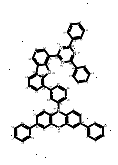 c1ccc(-c2ccc3c(c2)Sc2cc(-c4ccccc4)ccc2N3c2cccc(-c3cccc4c3oc3c(-c5nc(-c6ccccc6)nc(-c6ccccc6)n5)cccc34)c2)cc1